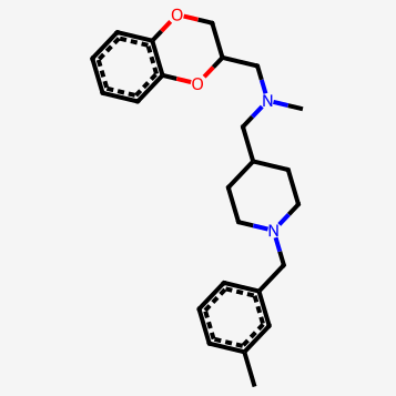 Cc1cccc(CN2CCC(CN(C)CC3COc4ccccc4O3)CC2)c1